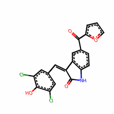 O=C1Nc2ccc(C(=O)c3ccco3)cc2/C1=C/c1cc(Cl)c(O)c(Cl)c1